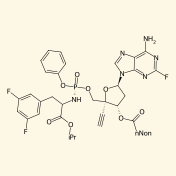 C#C[C@]1(CO[P@@](=O)(NC(Cc2cc(F)cc(F)c2)C(=O)OC(C)C)Oc2ccccc2)O[C@@H](n2cnc3c(N)nc(F)nc32)C[C@@H]1OC(=O)CCCCCCCCC